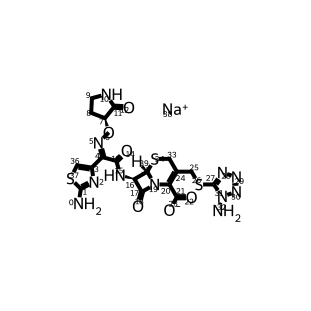 Nc1nc(/C(=N/O[C@H]2CCNC2=O)C(=O)N[C@@H]2C(=O)N3C(C(=O)[O-])=C(CSc4nnnn4N)CS[C@@H]23)cs1.[Na+]